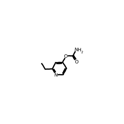 CCc1cc(OC(N)=O)ccn1